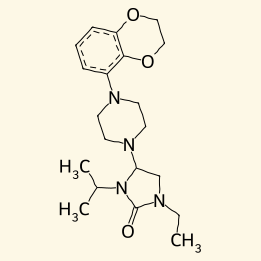 CCN1CC(N2CCN(c3cccc4c3OCCO4)CC2)N(C(C)C)C1=O